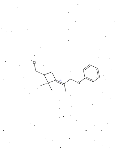 C/C(COc1ccccc1)=C1/CC(CCl)C1(C)C